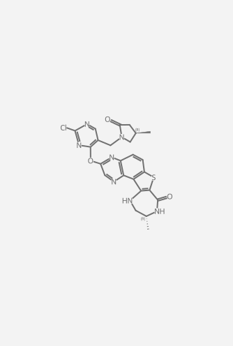 C[C@@H]1CC(=O)N(Cc2cnc(Cl)nc2Oc2cnc3c(ccc4sc5c(c43)NC[C@@H](C)NC5=O)n2)C1